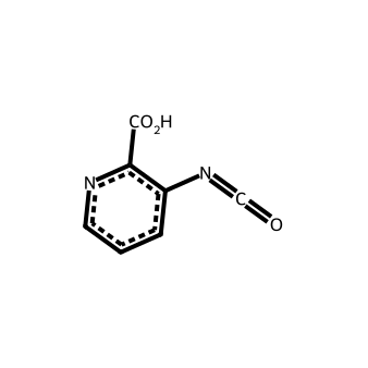 O=C=Nc1cccnc1C(=O)O